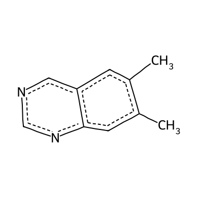 Cc1cc2cncnc2cc1C